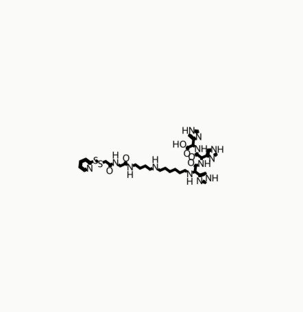 O=C(CNC(=O)CSSc1ccccn1)NCCCCNCCCCCCNC(C(=O)NC(C(=O)NC(C(=O)O)c1c[nH]cn1)c1c[nH]cn1)c1c[nH]cn1